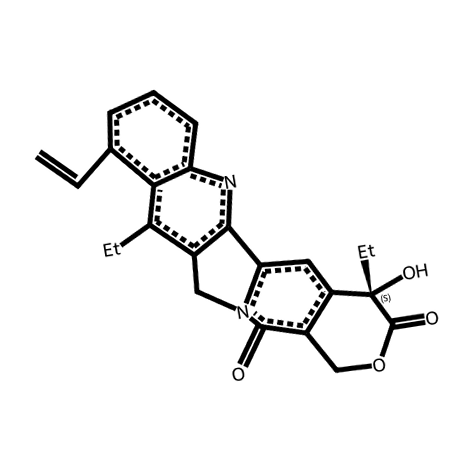 C=Cc1cccc2nc3c(c(CC)c12)Cn1c-3cc2c(c1=O)COC(=O)[C@]2(O)CC